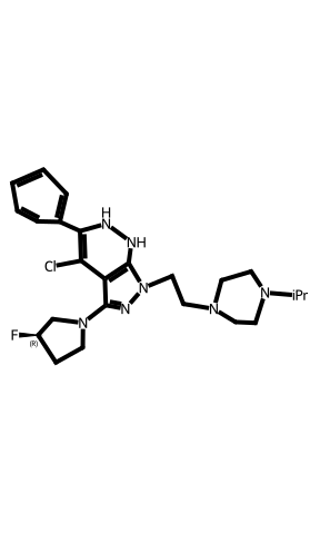 CC(C)N1CCN(CCn2nc(N3CC[C@@H](F)C3)c3c2NNC(c2ccccc2)=C3Cl)CC1